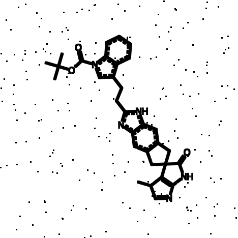 CC1C=NC2=C1C1(Cc3cc4nc(CCc5cn(C(=O)OC(C)(C)C)c6ccccc56)[nH]c4cc3C1)C(=O)N2